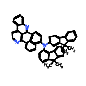 CC1(C)c2ccccc2-c2ccc(N(c3ccc(-c4nc5ccccc5c5ccnc(-c6ccccc6)c45)cc3)c3cccc4c3-c3ccccc3C4(C)C)cc21